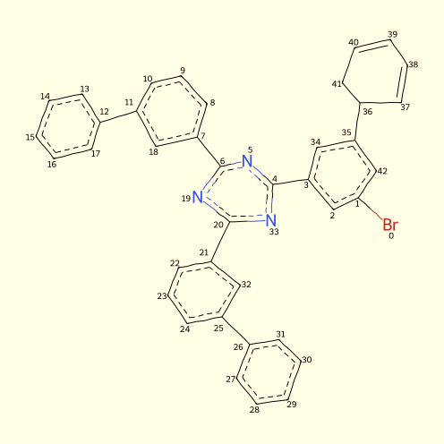 Brc1cc(-c2nc(-c3cccc(-c4ccccc4)c3)nc(-c3cccc(-c4ccccc4)c3)n2)cc(C2C=CC=CC2)c1